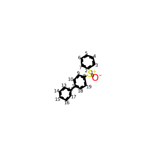 [O-][S+](c1ccccc1)c1ccc(-c2ccccc2)cc1